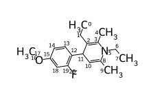 CCC1=C(C)N(CC)C(C)=CC1c1ccc(OC)cc1F